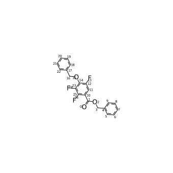 O=C(OCc1ccccc1)c1cc(F)c(OCc2ccccc2)c(F)c1F